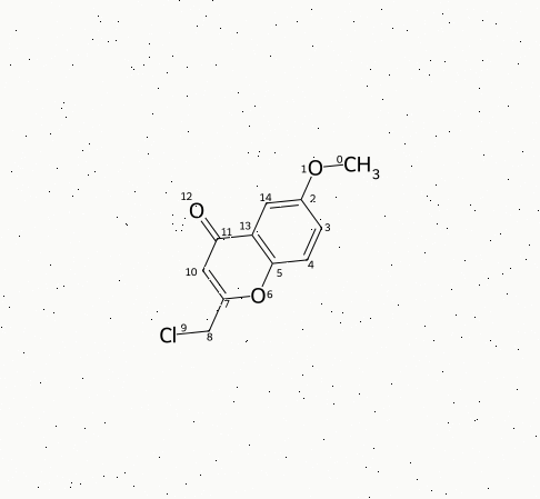 COc1ccc2oc(CCl)cc(=O)c2c1